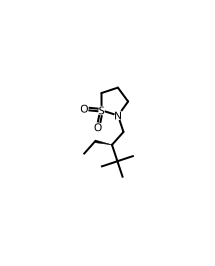 CC[C@@H](CN1CCCS1(=O)=O)C(C)(C)C